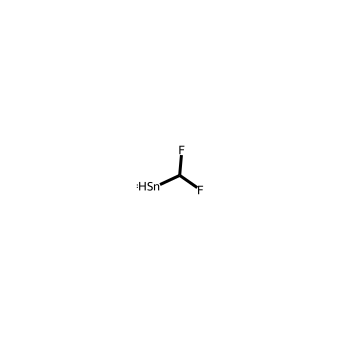 F[CH](F)[SnH]